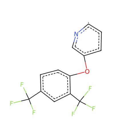 FC(F)(F)c1ccc(Oc2cc[c]nc2)c(C(F)(F)F)c1